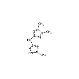 CSc1nc(Nc2nc(C)n(C)n2)c[nH]1